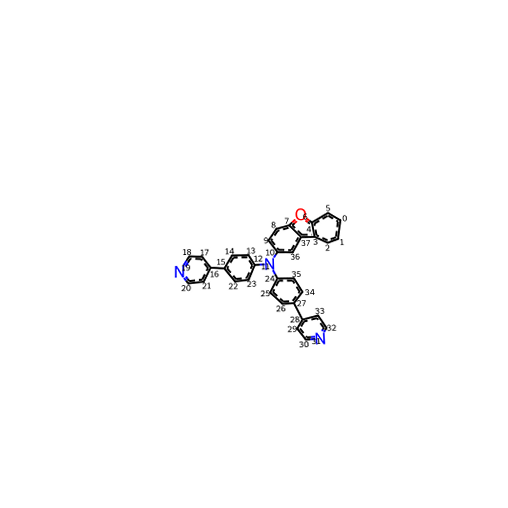 c1ccc2c(c1)oc1ccc(N(c3ccc(-c4ccncc4)cc3)c3ccc(-c4ccncc4)cc3)cc12